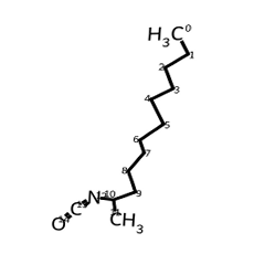 CCCCCCCCCCC(C)N=C=O